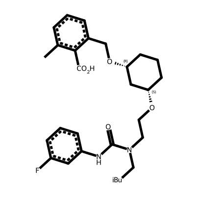 CCC(C)CN(CCO[C@H]1CCC[C@@H](OCc2cccc(C)c2C(=O)O)C1)C(=O)Nc1cccc(F)c1